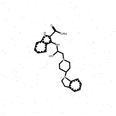 COC(=O)c1[nH]c2ccccc2c1NC(O)CN1CCC(N2CCc3ccccc32)CC1